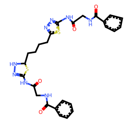 O=C(CNC(=O)c1ccccc1)NC1=NNC(CCCCc2nnc(NC(=O)CNC(=O)c3ccccc3)s2)S1